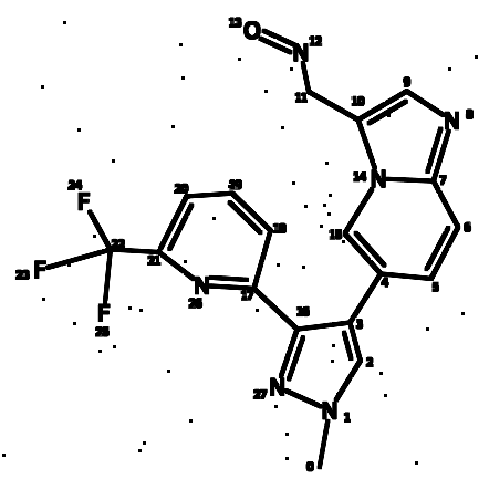 Cn1cc(-c2ccc3ncc(CN=O)n3c2)c(-c2cccc(C(F)(F)F)n2)n1